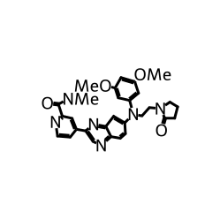 CNC(=O)c1cc(-c2cnc3ccc(N(CCN4CCCC4=O)c4cc(OC)cc(OC)c4)cc3n2)ccn1